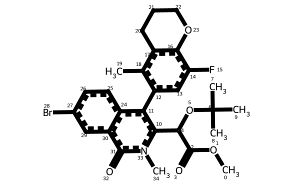 COC(=O)C(OC(C)(C)C)c1c(-c2cc(F)c3c(c2C)CCCO3)c2ccc(Br)cc2c(=O)n1C